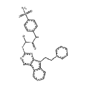 CCC(Sc1nnc2c3ccccc3n(CCc3ccccc3)c2n1)C(=O)Nc1ccc(S(N)(=O)=O)cc1